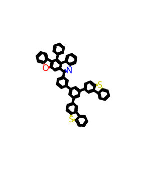 c1ccc(-c2c3c(cc4c(-c5cccc(-c6cc(-c7ccc8sc9ccccc9c8c7)cc(-c7ccc8sc9ccccc9c8c7)c6)c5)nc5ccccc5c24)oc2ccccc23)cc1